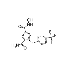 CNC(=O)c1cc(C(N)=O)n(Cc2ccc(C(F)(F)F)cc2)n1